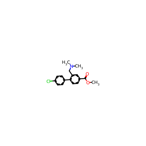 COC(=O)c1ccc(-c2ccc(Cl)cc2)c(CN(C)C)c1